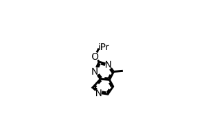 Cc1nc(OC(C)C)nc2cnccc12